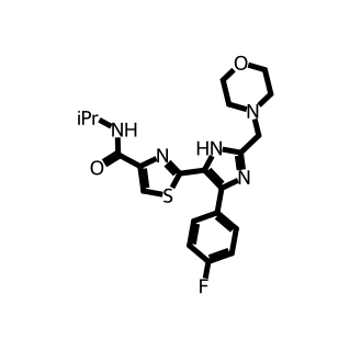 CC(C)NC(=O)c1csc(-c2[nH]c(CN3CCOCC3)nc2-c2ccc(F)cc2)n1